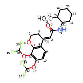 O=C(/C=C1\CCOc2c1ccc(OC(F)F)c2OC(F)F)NC1CCCCC1C(=O)O